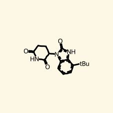 CC(C)(C)c1cccc2c1[nH]c(=O)n2C1CCC(=O)NC1=O